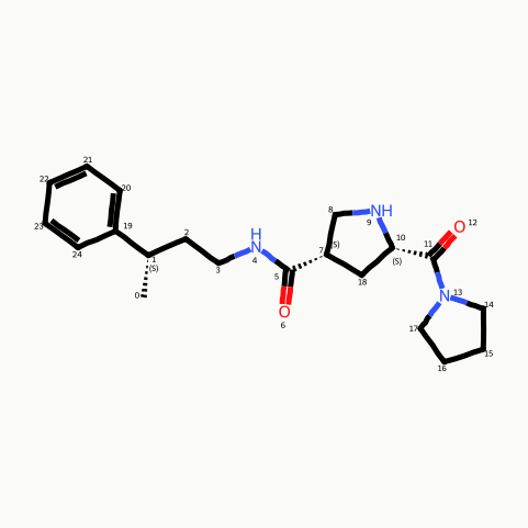 C[C@@H](CCNC(=O)[C@@H]1CN[C@H](C(=O)N2CCCC2)C1)c1ccccc1